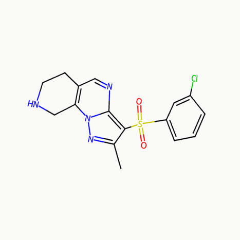 Cc1nn2c3c(cnc2c1S(=O)(=O)c1cccc(Cl)c1)CCNC3